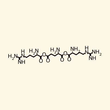 N=C(N)NCCC[C@@H](N)C(=O)OC(=O)CC[C@@H](N)C(=O)OC(=O)[C@H](N)CCCNC(=N)N